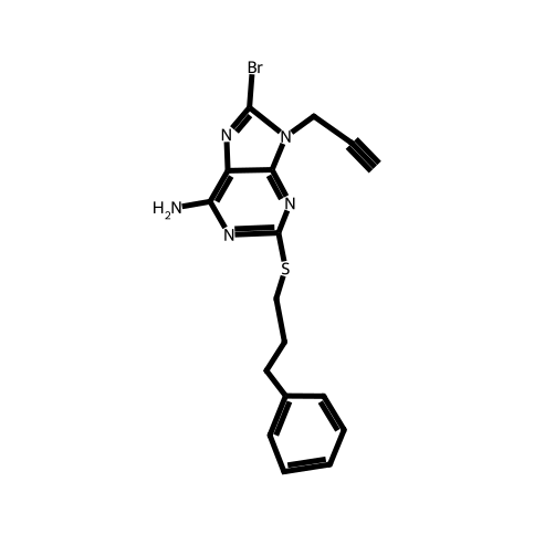 C#CCn1c(Br)nc2c(N)nc(SCCCc3ccccc3)nc21